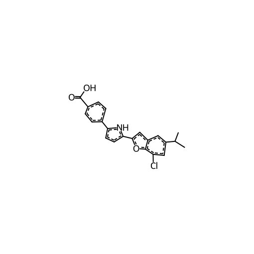 CC(C)c1cc(Cl)c2oc(-c3ccc(-c4ccc(C(=O)O)cc4)[nH]3)cc2c1